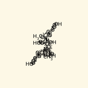 COc1ccc(S(=O)(=O)CCOSOOO)cc1/N=N/c1c(SOOO)cc2c(/N=N/c3ccc(S(=O)(=O)CCOSOOO)cc3OC)c(NCS(=O)(=O)O)ccc2c1O